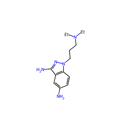 CCN(CC)CCCn1nc(N)c2cc(N)ccc21